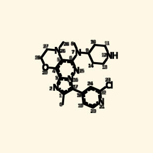 Cc1nc2c3c(c(N(C)C4CCNCC4)nn2c1-c1ccnc(Cl)c1)N(C)CCO3